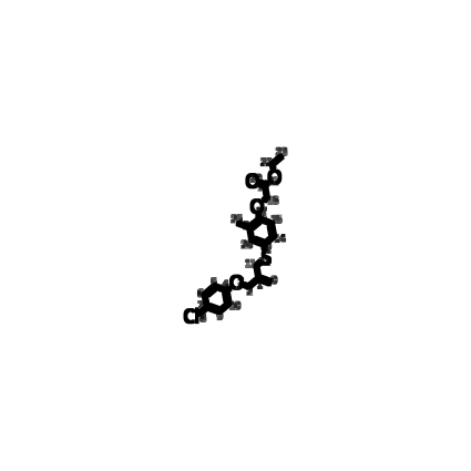 C=C(COc1ccc(Cl)cc1)CSc1ccc(OCC(=O)OCC)c(C)c1